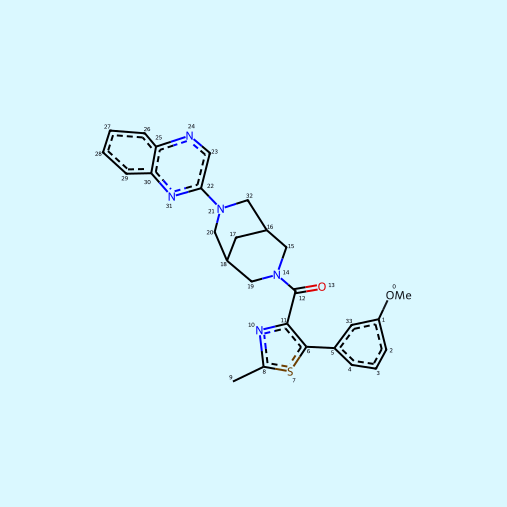 COc1cccc(-c2sc(C)nc2C(=O)N2CC3CC(C2)CN(c2cnc4ccccc4n2)C3)c1